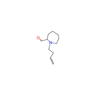 C=CCCN1CCCCCC1C=O